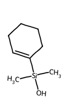 C[Si](C)(O)C1=CCCCC1